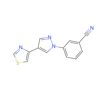 N#Cc1cccc(-n2cc(-c3cscn3)cn2)c1